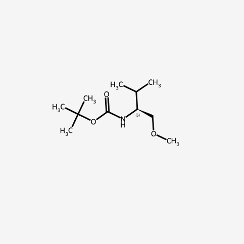 COC[C@@H](NC(=O)OC(C)(C)C)C(C)C